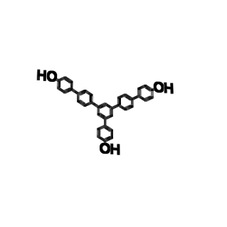 Oc1ccc(-c2ccc(-c3cc(-c4ccc(O)cc4)cc(-c4ccc(-c5ccc(O)cc5)cc4)c3)cc2)cc1